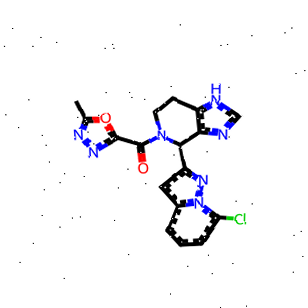 Cc1nnc(C(=O)N2CCc3[nH]cnc3C2c2cc3cccc(Cl)n3n2)o1